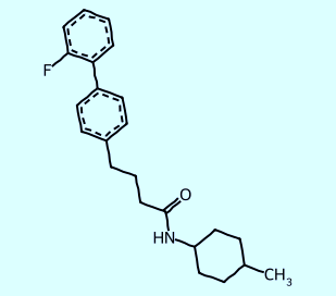 CC1CCC(NC(=O)CCCc2ccc(-c3ccccc3F)cc2)CC1